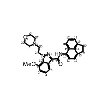 COc1cccc2c(C(=O)Nc3ccc4c5c(cccc35)CC4)nn(CCN3CCOCC3)c12